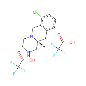 Clc1cccc2c1CN1CCNC[C@H]1C2.O=C(O)C(F)(F)F.O=C(O)C(F)(F)F